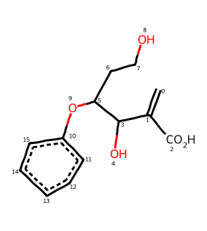 C=C(C(=O)O)C(O)C(CCO)Oc1ccccc1